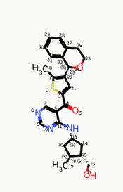 Cc1sc(C(=O)c2cncnc2N[C@@H]2C[C@H](CO)[C@@H](C)C2)cc1[C@@H]1OCCc2ccccc21